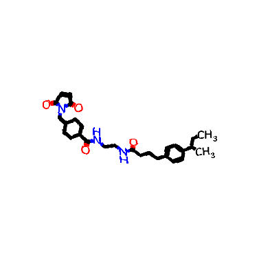 CCC(C)c1ccc(CCCC(=O)NCCNC(=O)C2CCC(CN3C(=O)C=CC3=O)CC2)cc1